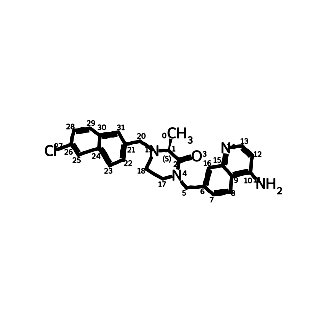 C[C@H]1C(=O)N(Cc2ccc3c(N)ccnc3c2)CCN1Cc1ccc2cc(Cl)ccc2c1